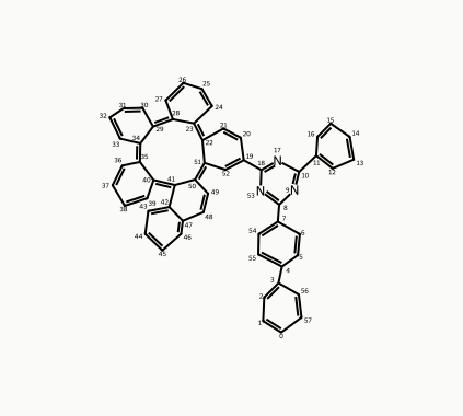 c1ccc(-c2ccc(-c3nc(-c4ccccc4)nc(-c4ccc5c6ccccc6c6ccccc6c6ccccc6c6c7ccccc7ccc6c5c4)n3)cc2)cc1